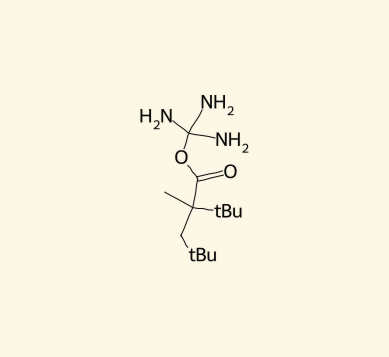 CC(C)(C)CC(C)(C(=O)OC(N)(N)N)C(C)(C)C